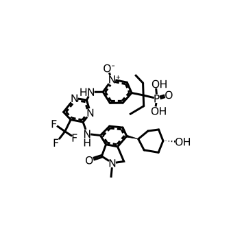 CCC(CC)(c1ccc(Nc2ncc(C(F)(F)F)c(Nc3ccc([C@H]4CC[C@H](O)CC4)c4c3C(=O)N(C)C4)n2)[n+]([O-])c1)P(=O)(O)O